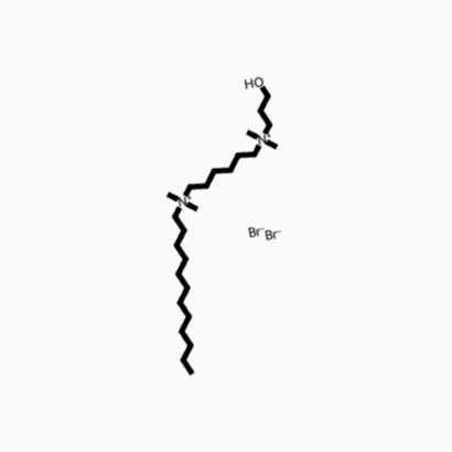 CCCCCCCCCCCC[N+](C)(C)CCCCCC[N+](C)(C)CCCO.[Br-].[Br-]